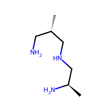 C[C@@H](CN)CNC[C@@H](C)N